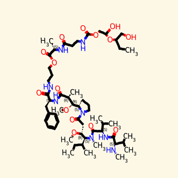 CCC(CO)OC(O)COC(=O)NCCC(=O)N[C@@H](C)C(=O)OCCCNC(=O)[C@H](Cc1ccccc1)NC(=O)[C@H](C)[C@@H](OC)[C@@H]1CCCN1C(=O)C[C@@H](OC)[C@H](C(C)CC)N(C)C(=O)[C@@H](NC(=O)[C@@H](NC)C(C)C)C(C)C